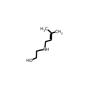 CC(C)=CCNCCO